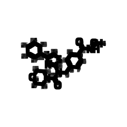 O=C(NOI)c1ccc(CN(C(=O)N2CCOCC2)c2nc(-c3ccccc3)cs2)cc1